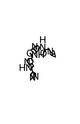 Cc1ncc(NC(=O)CN2CC3CC3C2)cc1NC(=O)c1cnc2[nH]c(-c3cnn(C)c3)cc2c1